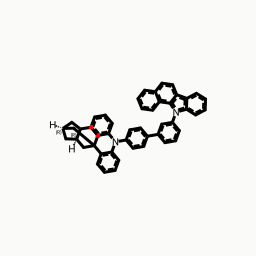 c1ccc(N(c2ccc(-c3cccc(-n4c5ccccc5c5ccc6ccccc6c54)c3)cc2)c2ccccc2C23CCC4C[C@H](C[C@@H]4C2)C3)cc1